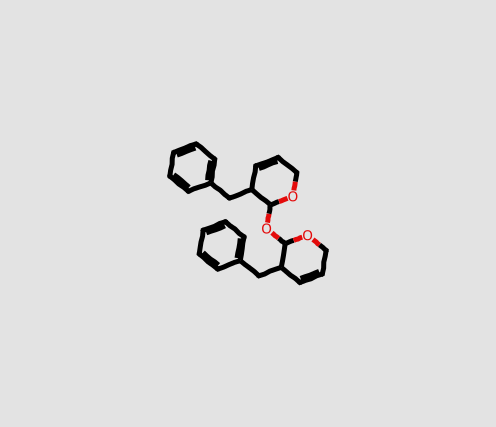 C1=CC(Cc2ccccc2)C(OC2OCC=CC2Cc2ccccc2)OC1